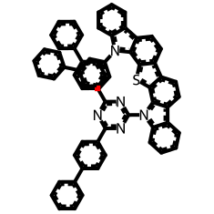 c1ccc(-c2ccc(-c3nc(-c4ccc(-c5ccccc5)cc4)nc(-n4c5ccccc5c5ccc6c7ccc8c9ccccc9n(-c9cccc(-c%10ccccc%10)c9)c8c7sc6c54)n3)cc2)cc1